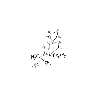 CC1(N[S+]([O-])C(C)(C)C)CCC2(CC1)OCCO2